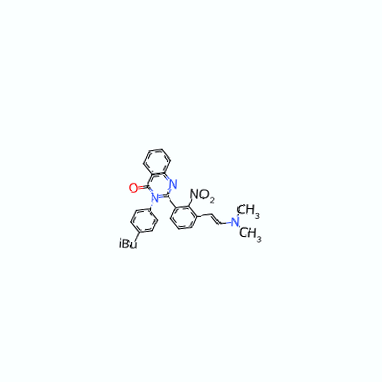 CCC(C)c1ccc(-n2c(-c3cccc(C=CN(C)C)c3[N+](=O)[O-])nc3ccccc3c2=O)cc1